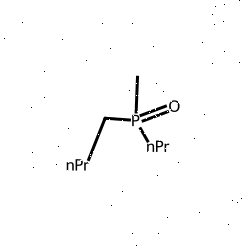 CCCCP(C)(=O)CCC